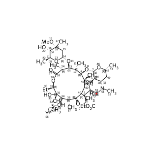 CCOC(=O)CCC(=O)O[C@H]1[C@H](O[C@@H]2[C@@H](C)[C@H](O[C@H]3C[C@@](C)(OC)[C@@H](O)[C@H](C)O3)[C@@H](C)C(=O)O[C@H](CC)[C@@](C)(O)[C@H](O)[C@@H](C)C(=O)[C@H](C)C[C@@]2(C)O)O[C@H](C)C[C@@H]1N(C)C.[GaH3].[Sc].[Y]